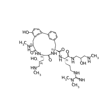 CNCC(O)CNC(=O)[C@H](CCCNC(=N)N(C)C)NC(=O)[C@@H]1Cc2cccc(c2)-c2ccc(O)c(c2)C[C@H](NC)C(=O)N[C@@H](C[C@@H](O)CNC)C(=O)N1